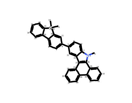 Cn1c2ccc(-c3ccc4c(c3)[Si](C)(C)c3ccccc3-4)cc2c2c3ccccc3c3ccccc3c21